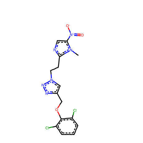 Cn1c([N+](=O)[O-])cnc1CCn1cc(COc2c(Cl)cccc2Cl)nn1